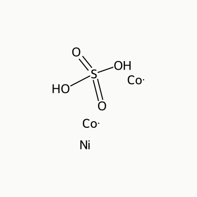 O=S(=O)(O)O.[Co].[Co].[Ni]